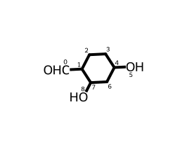 O=CC1CCC(O)CC1O